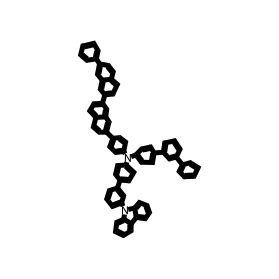 c1ccc(-c2cccc(-c3ccc(N(c4ccc(-c5cccc(-n6c7ccccc7c7ccccc76)c5)cc4)c4ccc(-c5ccc6ccc(-c7ccc8ccc(-c9ccccc9)cc8c7)cc6c5)cc4)cc3)c2)cc1